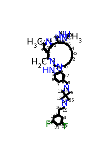 C=C1/N=C2\Nc3ccc(CN4CC5(CN(CCc6cc(F)cc(F)c6)C5)C4)cc3N2CCCCCC/C(NC)=C(/C=N)c2cc1cc(C)n2